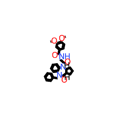 COc1ccc(C(=O)NCC(=O)N2c3ccccc3N(Cc3ccccc3)C(=O)[C@H]3CCC[C@H]32)cc1OC